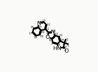 CC1(C)C(=O)Nc2cc3oc(-c4ccnc5ccccc45)nc3cc21